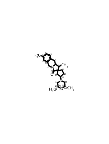 CC1C2Cc3ccc(C(F)(F)F)cc3CN2C(=O)C12CCC(N1C[C@@H](C)O[C@@H](C)C1)C2